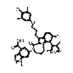 Cc1cc(OCCCc2c3n(c4c(-c5c(C)n[nH]c5C)c(Cl)ccc24)CCCN(c2cc(C(=O)O)c4cnn(C)c4c2)C3=O)cc(C)c1Cl